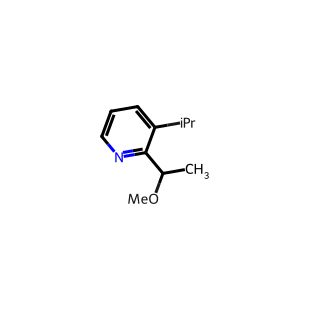 COC(C)c1ncccc1C(C)C